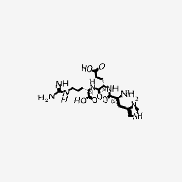 N=C(N)NCCC[C@H](NC(=O)[C@H](CCC(=O)O)NC(=O)[C@@H](N)Cc1c[nH]cn1)C(=O)O